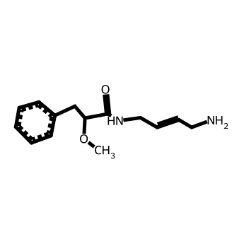 COC(Cc1ccccc1)C(=O)NCC=CCN